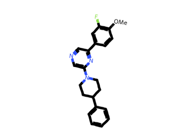 COc1ccc(-c2cncc(N3CCC(c4ccccc4)CC3)n2)cc1F